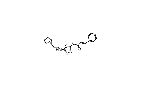 O=C(C=Cc1ccccc1)Nc1nnc(NCCN2CCCC2)s1